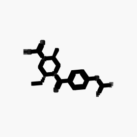 CC[C@@H]1CN(C(=O)O)[C@@H](C)CN1C(=O)c1ccc(OC(F)F)cc1